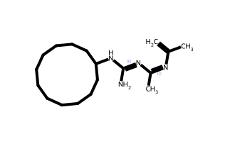 C=C(C)/N=C(C)\N=C(/N)NC1CCCCCCCCCCC1